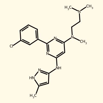 Cc1cc(Nc2cc(N(C)CCN(C)C)nc(-c3cccc(Cl)c3)n2)n[nH]1